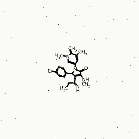 C=C1C(C)=CC(N2C(=O)C(NC)=C(C(=N)CC)C2c2ccc(Cl)cc2)=CN1C